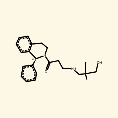 CC(C)(CO)CNCCC(=O)N1CCc2ccccc2[C@@H]1c1ccccc1